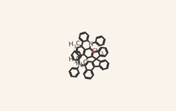 CC1C=CC2(C)C3=C1C(C)C1=C(c4ccccc4C14c1ccccc1-c1c4cc(N(c4ccccc4)c4ccccc4)c4ccccc14)C3(C)N(c1ccccc1)c1ccccc12